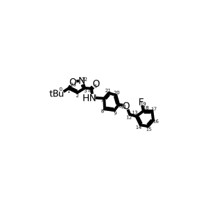 CC(C)(C)c1cc(C(=O)Nc2ccc(OCc3ccccc3F)cc2)no1